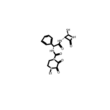 CCN1CCN(C(=O)N[C@@H](C(=O)N[C@H]2C(=O)N[C@@H]2S)c2ccccc2)C(=O)C1=O